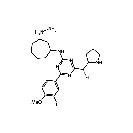 CC[C@H](c1nc(NC2CCCCCC2)nc(-c2ccc(OC)c(F)c2)n1)C1CCCN1.NN